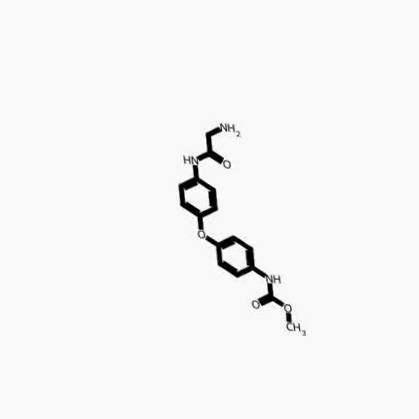 COC(=O)Nc1ccc(Oc2ccc(NC(=O)CN)cc2)cc1